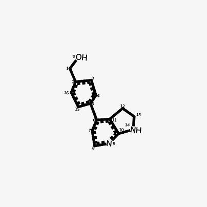 OCc1ccc(-c2ccnc3c2CCN3)cc1